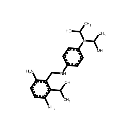 CC(O)c1c(N)ccc(N)c1CNc1ccc(N(C(C)O)C(C)O)cc1